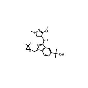 COc1nn(C)cc1Nc1nn(C[C@H]2CC2(F)F)c2ccc(C(C)(C)O)cc12